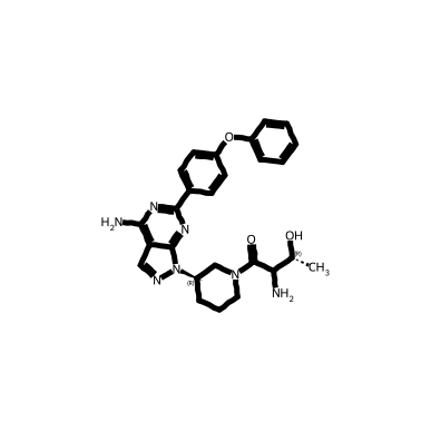 C[C@@H](O)C(N)C(=O)N1CCC[C@@H](n2ncc3c(N)nc(-c4ccc(Oc5ccccc5)cc4)nc32)C1